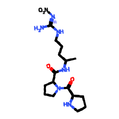 CC(CCCN/C(N)=N/[N+](=O)[O-])NC(=O)C1CCCN1C(=O)C1CCCN1